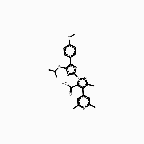 COc1ccc(-c2nc(-n3nc(C)c(-c4cc(C)nc(C)c4)c3C(=O)O)sc2SC(C)C)cc1